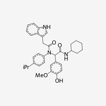 COc1cc(C(C(=O)NC2CCCCC2)N(C(=O)Cc2c[nH]c3ccccc23)c2ccc(C(C)C)cc2)ccc1O